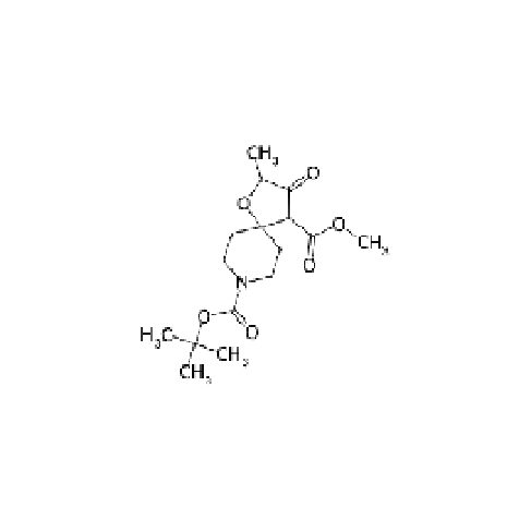 COC(=O)C1C(=O)C(C)OC12CCN(C(=O)OC(C)(C)C)CC2